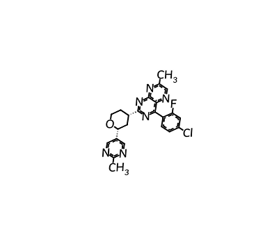 Cc1cnc2c(-c3ccc(Cl)cc3F)nc([C@H]3CCO[C@@H](c4cnc(C)nc4)C3)nc2n1